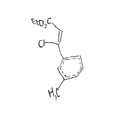 CCOC(=O)C=C(Cl)c1cccc(C)c1